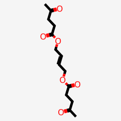 CC(=O)CCC(=O)OC/C=C/COC(=O)CCC(C)=O